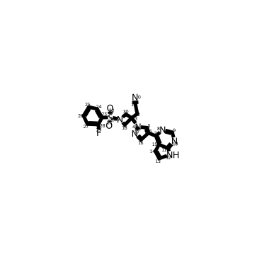 N#CCC1(n2cc(-c3ncnc4[nH]ccc34)cn2)CN(S(=O)(=O)c2ccccc2F)C1